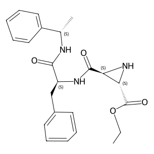 CCOC(=O)[C@H]1N[C@@H]1C(=O)N[C@@H](Cc1ccccc1)C(=O)N[C@@H](C)c1ccccc1